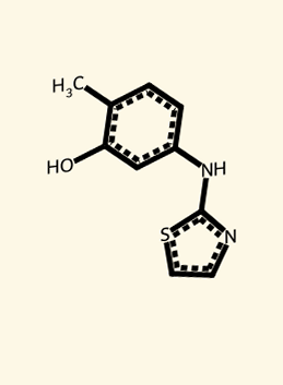 Cc1ccc(Nc2nccs2)cc1O